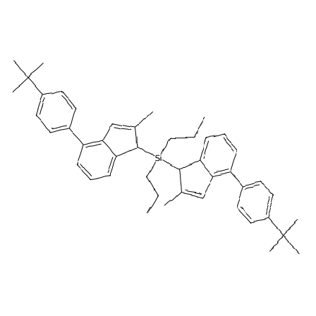 CCC[Si](CCC)(C1C(C)=Cc2c(-c3ccc(C(C)(C)C)cc3)cccc21)C1C(C)=Cc2c(-c3ccc(C(C)(C)C)cc3)cccc21